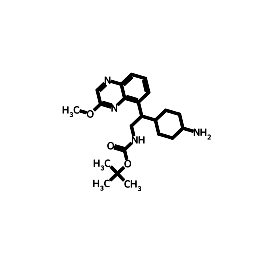 COc1cnc2cccc(C(CNC(=O)OC(C)(C)C)C3CCC(N)CC3)c2n1